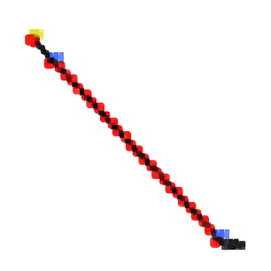 CSCCC(=O)NCCOCCOCCOCCOCCOCCOCCOCCOCCOCCOCCOCCOCCOCCOCCOCCOCCOCCOCCOCCOCCOCCOCCOCCOCCC(=O)NCCCCCCOP(C)(=O)S